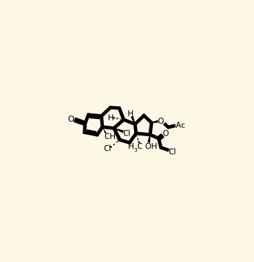 CC(=O)CO[C@@H]1C[C@H]2[C@@H]3CCC4=CC(=O)C=C[C@]4(C)[C@@]3(Cl)[C@@H](Cl)C[C@]2(C)[C@@]1(O)C(=O)CCl